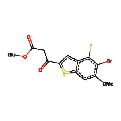 COc1cc2sc(C(=O)CC(=O)OC(C)(C)C)cc2c(F)c1Br